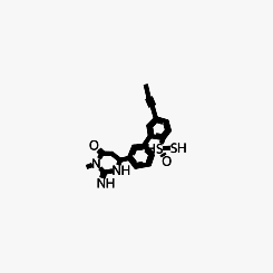 CC#Cc1ccc2c(c1)-c1cc(C3CC(=O)N(C)C(=N)N3)ccc1[SH]2(=O)S